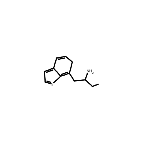 CCC(N)CC1=C2N=CC=C2C=CC1